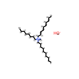 CCCCCCCCCC[N+](C)(CCCCCCCC)CCCCCCCCCC.[OH-]